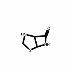 O=C1NC2SCNC12